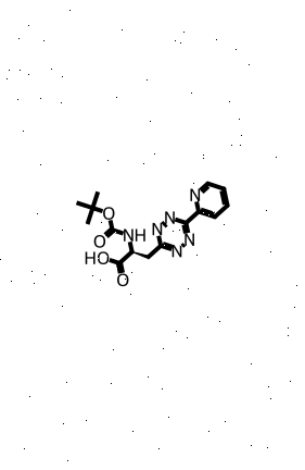 CC(C)(C)OC(=O)N[C@@H](Cc1nnc(-c2ccccn2)nn1)C(=O)O